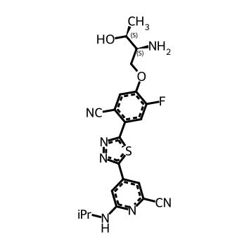 CC(C)Nc1cc(-c2nnc(-c3cc(F)c(OC[C@H](N)[C@H](C)O)cc3C#N)s2)cc(C#N)n1